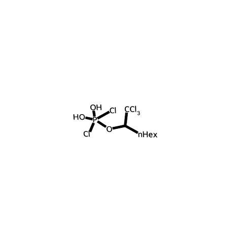 CCCCCCC(OP(O)(O)(Cl)Cl)C(Cl)(Cl)Cl